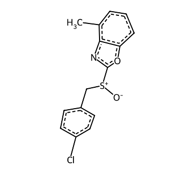 Cc1cccc2oc([S+]([O-])Cc3ccc(Cl)cc3)nc12